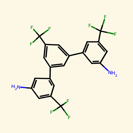 Nc1cc(-c2cc(-c3cc(N)cc(C(F)(F)F)c3)cc(C(F)(F)F)c2)cc(C(F)(F)F)c1